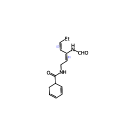 CC/C=C\C(=C/CNC(=O)C1C=CC=CC1)NC=O